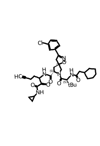 C#CCCC(NC(=O)[C@@H]1C[C@]2(CC(c3cccc(Cl)c3)=NO2)CN1C(=O)[C@@H](NC(=O)CC1CCCCC1)C(C)(C)C)C(=O)C(=O)NC1CC1